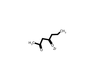 CCCC(=O)CC(C)=O.[Zr]